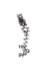 CC(C)OCC(=O)NCCCCCCCN1CCC(c2cnc(N3C4CCC3CN(C(C)I)C4)nc2)CC1